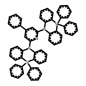 c1ccc(-c2cc(N3c4ccccc4[Si](c4ccccc4)(c4ccccc4)c4ccccc43)nc(N3c4ccccc4[Si](c4ccccc4)(c4ccccc4)c4ccccc43)c2)cc1